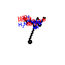 CC(C)C[C@H](NC(=O)[C@@H]1CCCN1C(=O)CCOC(C)C)C(=O)N[C@@H](Cc1cncn1CCCCCCCCCc1ccccc1)C(=O)N[C@@H](CO)C(=O)N[C@H](C(N)=O)[C@@H](C)OP(=O)(O)O